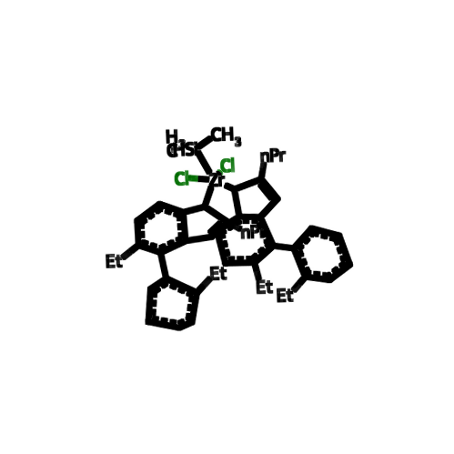 CCCC1=Cc2c(ccc(CC)c2-c2ccccc2CC)[CH]1[Zr]([Cl])([Cl])([CH]1C(CCC)=Cc2c1ccc(CC)c2-c1ccccc1CC)[SiH](C)C